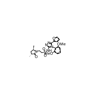 COc1cccc(OC)c1-n1c(NS(=O)(=O)CCN2C(=O)[C@H](C)C[C@H]2C)nnc1-c1ccco1